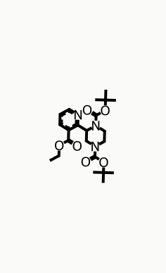 CCOC(=O)c1cccnc1C1CN(C(=O)OC(C)(C)C)CCN1C(=O)OC(C)(C)C